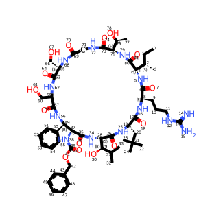 CC[C@H](C)[C@@H]1NC(=O)[C@@H](CCCNC(=N)N)NC(=O)[C@H](CC(C)(C)C)NC(=O)[C@H]([C@H](O)C(C)C)NC(=O)[C@@H](NC(=O)OCc2ccccc2)[C@@H](c2ccccc2)NC(=O)C(CO)NC(=O)[C@H](CO)NC(=O)CNC(=O)[C@H]([C@H](C)O)NC1=O